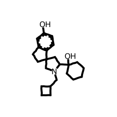 Oc1ccc2c(c1)CCC21CC(C2(O)CCCCC2)N(CC2CCC2)C1